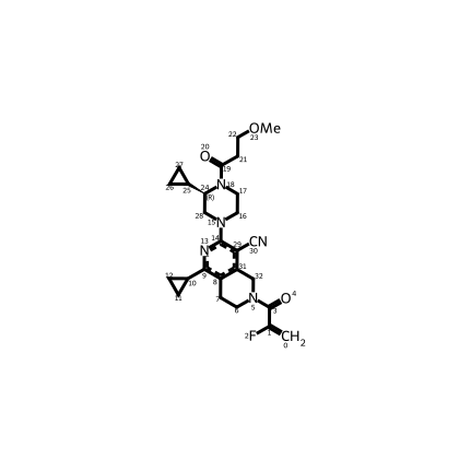 C=C(F)C(=O)N1CCc2c(C3CC3)nc(N3CCN(C(=O)CCOC)[C@H](C4CC4)C3)c(C#N)c2C1